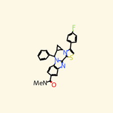 CNC(=O)c1ccc2c(c1)nc(-c1nc(-c3ccc(F)cc3)cs1)n2C(c1ccccc1)C1CC1